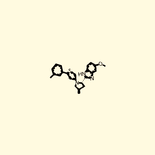 C=C1C[C@@H](c2nc3cc(OC)ccc3[nH]2)N(c2[c]c(-c3cccc(C)c3)sc2)C1